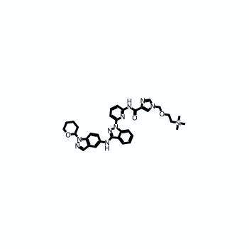 C[Si](C)(C)CCOCn1cnc(C(=O)Nc2cccc(-n3nc(Nc4ccc5c(cnn5C5CCCCO5)c4)c4ccccc43)n2)c1